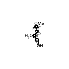 COc1cc(F)c([C@H]2CC(=O)N(c3cc(C)cc(C4CCN(CCO)CC4)n3)C2)c(F)c1